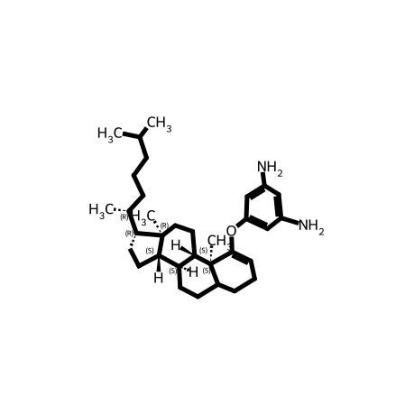 CC(C)CCC[C@@H](C)[C@H]1CC[C@H]2[C@@H]3CCC4CCC=C(Oc5cc(N)cc(N)c5)[C@]4(C)[C@H]3CC[C@]12C